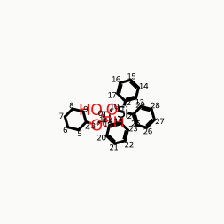 [OH][Ti]([OH])([O]C1CCCCC1)[O][Si](c1ccccc1)(c1ccccc1)c1ccccc1